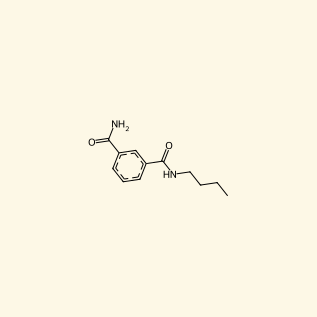 CCCCNC(=O)c1cccc(C(N)=O)c1